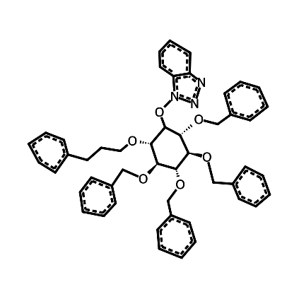 c1ccc(CCCO[C@@H]2C(On3nnc4ccccc43)[C@H](OCc3ccccc3)[C@@H](OCc3ccccc3)[C@H](OCc3ccccc3)[C@H]2OCc2ccccc2)cc1